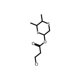 CC1SCC(OC(=O)CCCl)SC1C